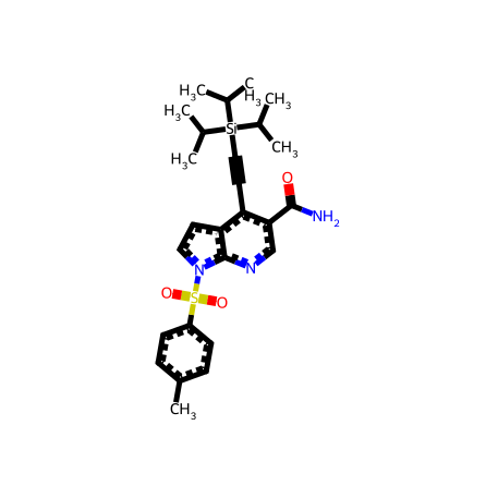 Cc1ccc(S(=O)(=O)n2ccc3c(C#C[Si](C(C)C)(C(C)C)C(C)C)c(C(N)=O)cnc32)cc1